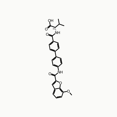 COc1cccc2cc(C(=O)Nc3ccc(-c4ccc(C(=O)N[C@H](C(=O)O)C(C)C)cc4)cc3)oc12